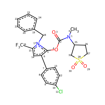 CN(C(=O)Oc1c(-c2ccc(Cl)cc2)cc(C(F)(F)F)n1Cc1ccccc1)C1CCS(=O)(=O)C1